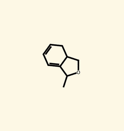 CC1OCC2CC=CC=C21